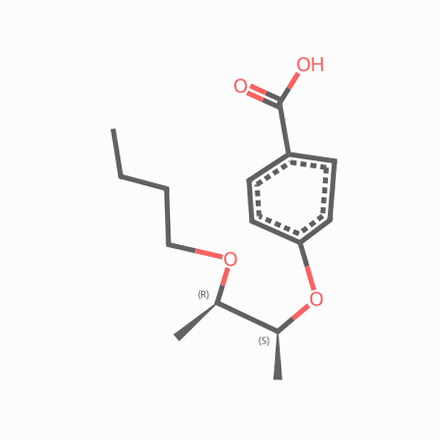 CCCCO[C@H](C)[C@H](C)Oc1ccc(C(=O)O)cc1